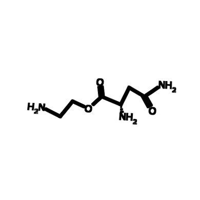 NCCOC(=O)[C@@H](N)CC(N)=O